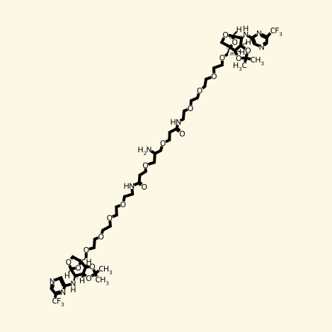 CC1(C)O[C@@H]2[C@@H](Nc3cncc(C(F)(F)F)n3)[C@H]3OC[C@](COCCOCCOCCOCCNC(=O)CCOCC(N)COCCC(=O)NCCOCCOCCOCCOC[C@@]45CO[C@@H](O4)[C@H](Nc4cncc(C(F)(F)F)n4)[C@H]4OC(C)(C)O[C@H]45)(O3)[C@@H]2O1